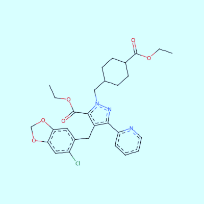 CCOC(=O)c1c(Cc2cc3c(cc2Cl)OCO3)c(-c2ccccn2)nn1CC1CCC(C(=O)OCC)CC1